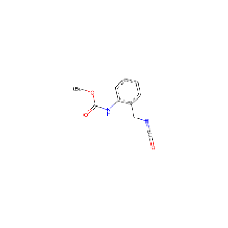 CC(C)(C)OC(=O)Nc1ccccc1CN=C=O